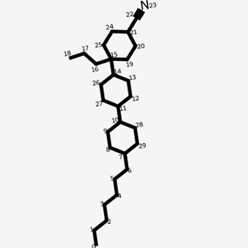 CCCCCCCC1CCC(C2CCC(C3(CCC)CCC(C#N)CC3)CC2)CC1